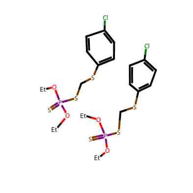 CCOP(=S)(OCC)SCSc1ccc(Cl)cc1.CCOP(=S)(OCC)SCSc1ccc(Cl)cc1